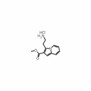 COC(=O)c1cc2ccccn2c1CCN.Cl